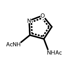 CC(=O)Nc1conc1NC(C)=O